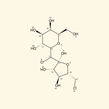 OC[C@H]1OC(C(Cl)[C@@]2(O)O[C@H](CCl)[C@@H](O)[C@@H]2O)[C@H](O)[C@@H](O)[C@H]1O